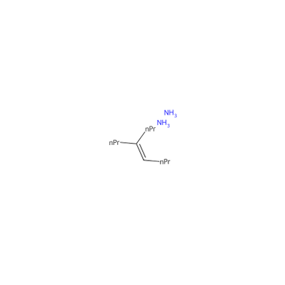 CCCC=C(CCC)CCC.N.N